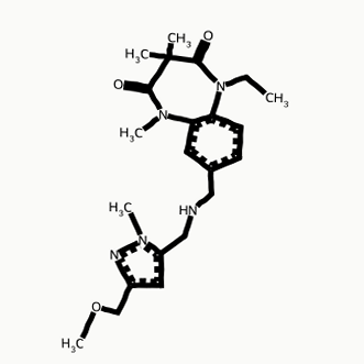 CCN1C(=O)C(C)(C)C(=O)N(C)c2cc(CNCc3cc(COC)nn3C)ccc21